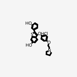 Cl.Oc1cccc(-c2sc3cc(O)ccc3c2Oc2ccc(OCCN3CCCC3)cc2)c1